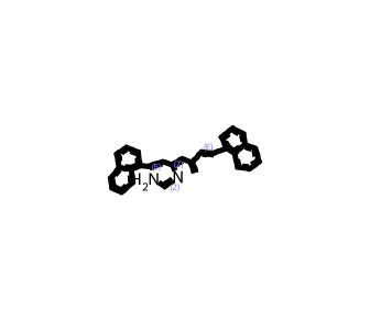 C=C(/C=C(/C=C/c1cccc2ccccc12)\N=C/N)/C=C/c1cccc2ccccc12